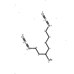 CCCC(CCCCN=C=O)CCN=C=O